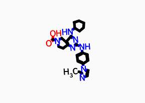 Cc1nccn1-c1ccc(Nc2nc3c(c(NC4CCCCC4)n2)CN(C(=O)O)CC3)cc1